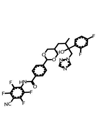 CC(CC1COC(c2ccc(C(=O)Nc3c(F)c(F)c(C#N)c(F)c3F)cc2)OC1)C(O)(Cn1cncn1)c1ccc(F)cc1F